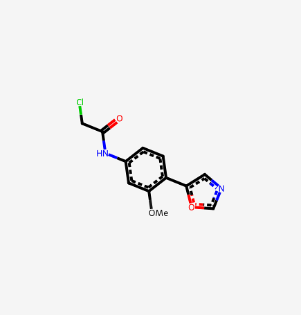 COc1cc(NC(=O)CCl)ccc1-c1cnco1